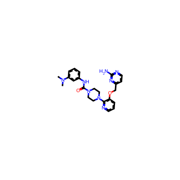 CN(C)c1cccc(NC(=O)N2CCN(c3ncccc3OCc3ccnc(N)n3)CC2)c1